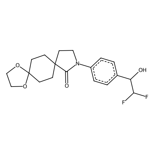 O=C1N(c2ccc(C(O)C(F)F)cc2)CCC12CCC1(CC2)OCCO1